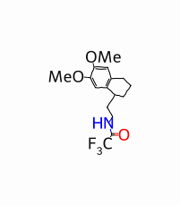 COc1cc2c(cc1OC)C(CCNC(=O)C(F)(F)F)CCC2